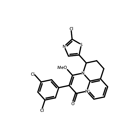 COc1c(-c2cc(Cl)cc(Cl)c2)c(=O)[n+]2cccc3c2n1C(c1cnc(Cl)s1)CC3